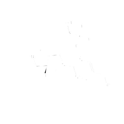 CC(C)Oc1cnc(N2C[C@@H]3CNC[C@H]3C2)nc1.O=C(O)C(F)(F)F